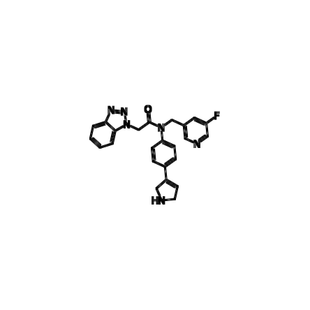 O=C(Cn1nnc2ccccc21)N(Cc1cncc(F)c1)c1ccc(C2=CCNC2)cc1